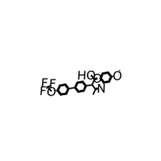 COc1cccc(/N=C(/C)C(C(=O)O)c2ccc(-c3ccc(OC(F)(F)F)cc3)cc2)c1